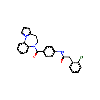 O=C(Cc1ccccc1Cl)Nc1ccc(C(=O)N2CCc3cccn3-c3ccccc32)cc1